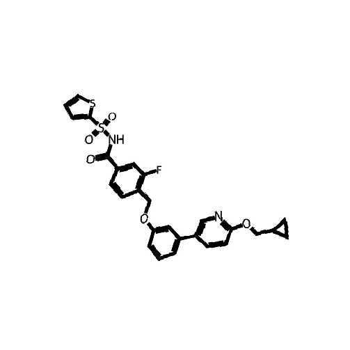 O=C(NS(=O)(=O)c1cccs1)c1ccc(COc2cccc(-c3ccc(OCC4CC4)nc3)c2)c(F)c1